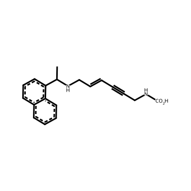 CC(NC/C=C/C#CCNC(=O)O)c1cccc2ccccc12